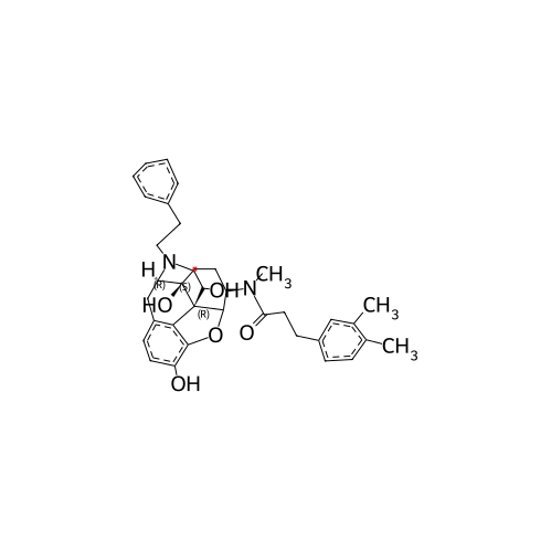 Cc1ccc(CCC(=O)N(C)C2CC[C@@]3(O)[C@H]4Cc5ccc(O)c6c5[C@@]3(C(O)CN4CCc3ccccc3)C2O6)cc1C